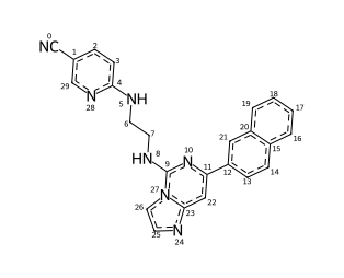 N#Cc1ccc(NCCNc2nc(-c3ccc4ccccc4c3)cc3nccn23)nc1